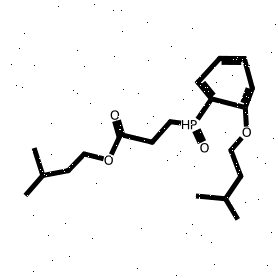 CC(C)CCOC(=O)CC[PH](=O)c1ccccc1OCCC(C)C